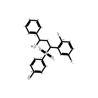 CC(CC(c1cc(F)ccc1F)S(=O)(=O)c1ccc(Cl)cc1)c1ccccc1